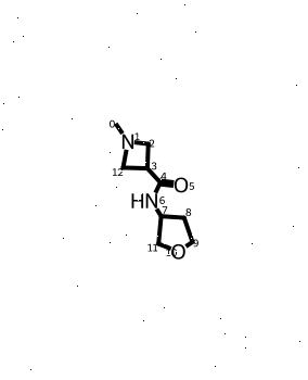 CN1CC(C(=O)NC2CCOC2)C1